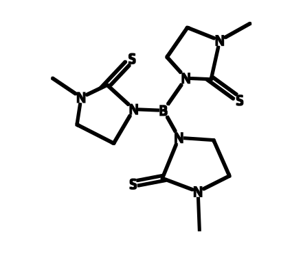 CN1CCN(B(N2CCN(C)C2=S)N2CCN(C)C2=S)C1=S